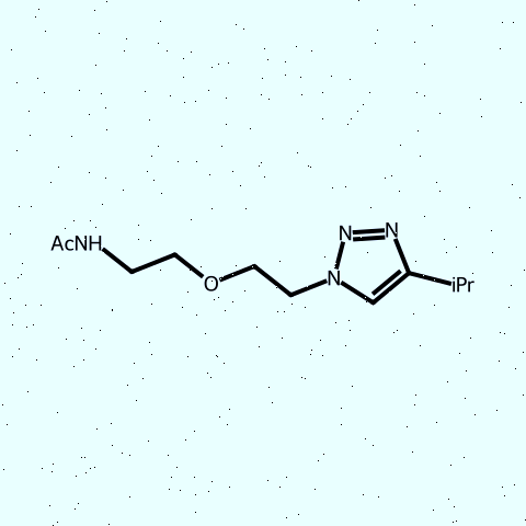 CC(=O)NCCOCCn1cc(C(C)C)nn1